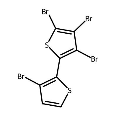 Brc1ccsc1-c1sc(Br)c(Br)c1Br